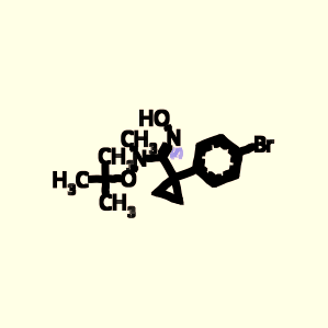 CN(OC(C)(C)C)/C(=N\O)C1(c2ccc(Br)cc2)CC1